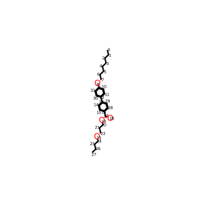 CCCCCCCCOc1ccc(-c2ccc(C(=O)OCCCOCCCC)cc2)cc1